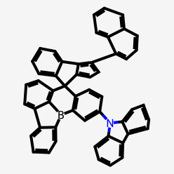 c1ccc2c(c1)B1c3cc(-n4c5ccccc5c5ccccc54)ccc3C3(c4ccccc4-c4cc(-c5cccc6ccccc56)ccc43)c3cccc-2c31